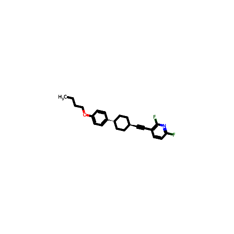 CCCCOc1ccc([C@H]2CC[C@H](C#Cc3ccc(F)nc3F)CC2)cc1